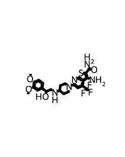 COc1ccc(C(O)CNC2CCN(c3cc(C(F)(F)F)c4c(N)c(C(N)=O)sc4n3)CC2)cc1OC